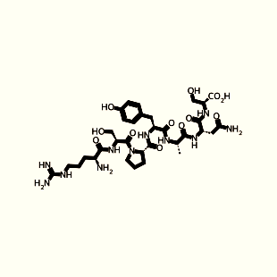 C[C@H](NC(=O)[C@H](Cc1ccc(O)cc1)NC(=O)[C@@H]1CCCN1C(=O)[C@H](CO)NC(=O)[C@@H](N)CCCNC(=N)N)C(=O)N[C@@H](CC(N)=O)C(=O)N[C@@H](CO)C(=O)O